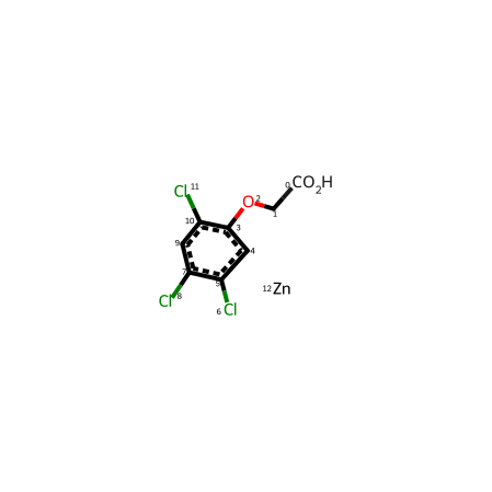 O=C(O)COc1cc(Cl)c(Cl)cc1Cl.[Zn]